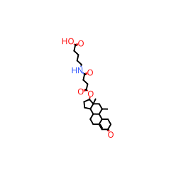 CC1CC2(C)C(OC(=O)CCC(=O)NCCCCC(=O)O)CCC2C2CCC3=CC(=O)CCC3C12